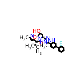 Cc1cc([C@H](C(=O)N2CC(O)C[C@H]2C2=NNC(C)(c3ccc(-c4ccccc4F)cc3)N2)C(C)C)on1